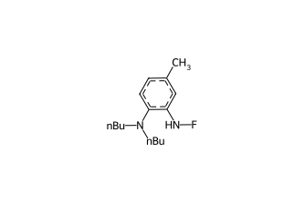 CCCCN(CCCC)c1ccc(C)cc1NF